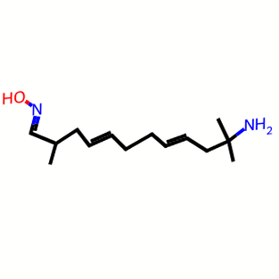 CC(/C=N/O)C/C=C/CC/C=C/CC(C)(C)N